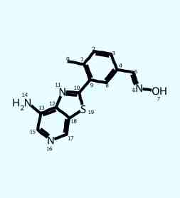 Cc1ccc(C=NO)cc1-c1nc2c(N)cncc2s1